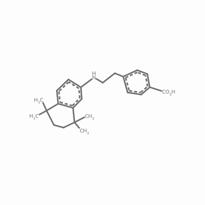 CC1(C)CCC(C)(C)c2cc(NCCc3ccc(C(=O)O)cc3)ccc21